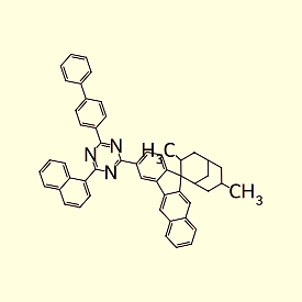 CC1CC2CC(C)C3(c4ccc(-c5nc(-c6ccc(-c7ccccc7)cc6)nc(-c6cccc7ccccc67)n5)cc4-c4cc5ccccc5cc43)C(C1)C2